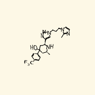 Cc1nccn1CCCn1cc([C@@H]2CC(O)(c3ccc(C(F)(F)F)cc3)C[C@H](C)N2)nn1